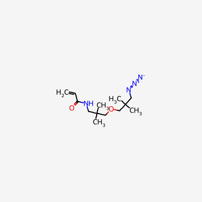 C=CC(=O)NCC(C)(C)COCC(C)(C)CN=[N+]=[N-]